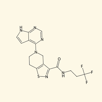 O=C(NCCC(F)(F)F)c1nsc2c1CN(c1ncnc3[nH]ccc13)CC2